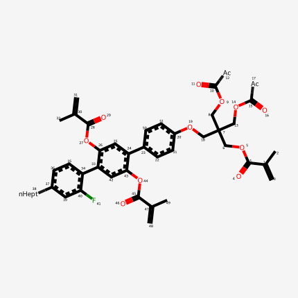 C=C(C)C(=O)OCC(COC(=O)C(C)=O)(COC(=O)C(C)=O)COc1ccc(-c2cc(OC(=O)C(=C)C)c(-c3ccc(CCCCCCC)cc3F)cc2OC(=O)C(=C)C)cc1